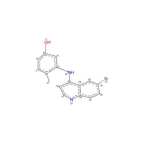 Cc1ccc(O)cc1Nc1ccnc2ccc(Br)cc12